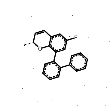 [CH2][C@@H]1C=Cc2cc(F)cc(-c3ccccc3-c3ccccc3)c2O1